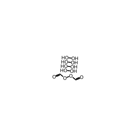 O=COOC=O.OO.OO.OO.OO